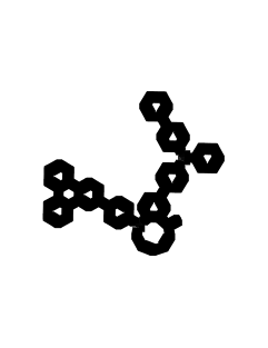 C=C1/C=C\C=C/CN(c2ccc(-c3ccc4c5ccccc5c5ccccc5c4c3)cc2)c2ccc(-c3ccc(N(c4ccccc4)c4ccc(-c5ccccc5)cc4)cc3)cc21